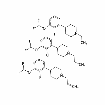 C=CCN1CCC(c2cccc(OC(F)F)c2F)CC1.CCCN1CCC(c2cccc(OC(F)F)c2Cl)CC1.CCN1CCC(c2cccc(OC(F)F)c2F)CC1